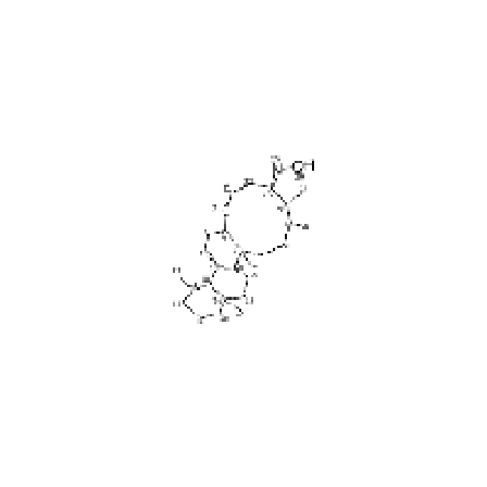 CC1CCC2(C)C(CC=C3C4C(C)CCCC4(C)CCC32)CCC/C(=N/O)C1C